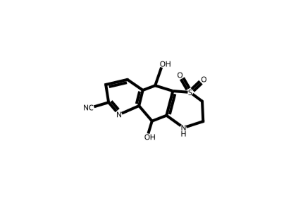 N#Cc1ccc2c(n1)C(O)C1=C(C2O)S(=O)(=O)CCN1